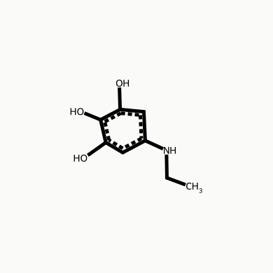 CCNc1cc(O)c(O)c(O)c1